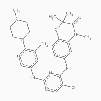 Cc1cc(Nc2ncc(Cl)c(Nc3ccc4c(c3)N(C)C(=O)C(C)(C)O4)n2)cnc1N1CCN(C)CC1